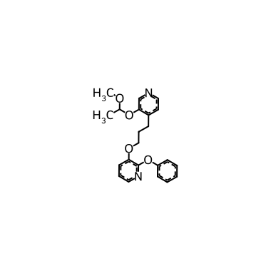 COC(C)Oc1cnccc1CCCOc1cccnc1Oc1ccccc1